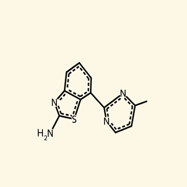 Cc1ccnc(-c2cccc3nc(N)sc23)n1